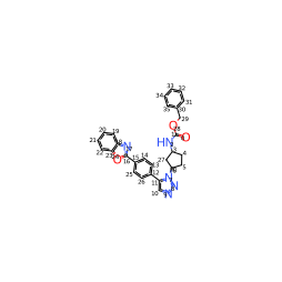 O=C(NC1CC[C@@H](n2nncc2-c2ccc(-c3nc4ccccc4o3)cc2)C1)OCc1ccccc1